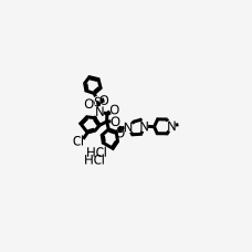 CN1CCC(N2CCN(C(=O)OC3(c4ccccc4)C(=O)N(S(=O)(=O)c4ccccc4)c4ccc(Cl)cc43)CC2)CC1.Cl.Cl